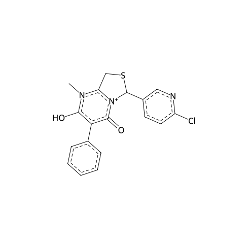 Cn1c(O)c(-c2ccccc2)c(=O)[n+]2c1CSC2c1ccc(Cl)nc1